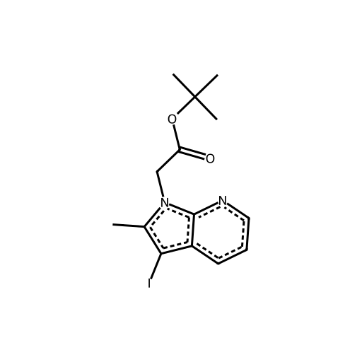 Cc1c(I)c2cccnc2n1CC(=O)OC(C)(C)C